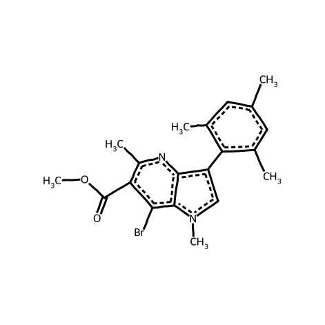 COC(=O)c1c(C)nc2c(-c3c(C)cc(C)cc3C)cn(C)c2c1Br